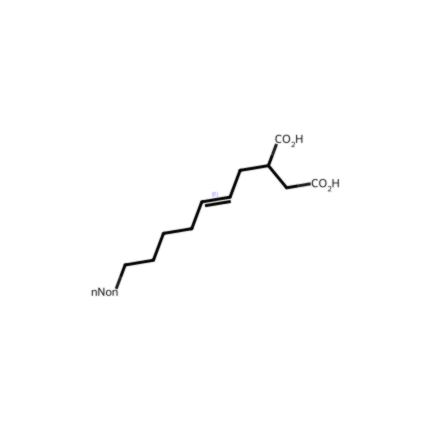 CCCCCCCCCCCCC/C=C/CC(CC(=O)O)C(=O)O